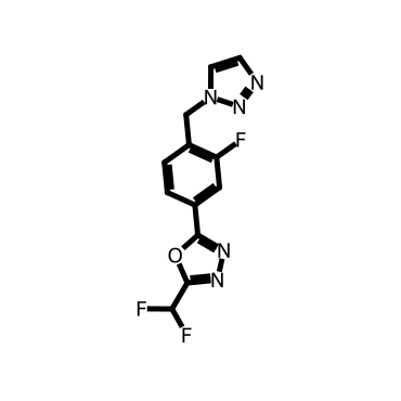 Fc1cc(-c2nnc(C(F)F)o2)ccc1Cn1ccnn1